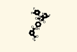 COC(=O)c1cccc(C(=O)NC2CCC(n3c(=O)c4cc(F)cnc4n(-c4ccc(F)c(F)c4)c3=O)CC2)c1